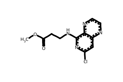 COC(=O)CCNc1nc(Cl)cc2nccnc12